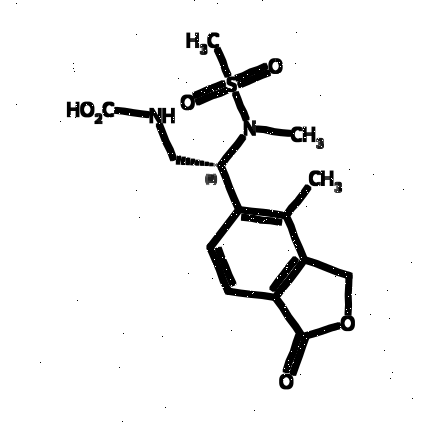 Cc1c([C@H](CNC(=O)O)N(C)S(C)(=O)=O)ccc2c1COC2=O